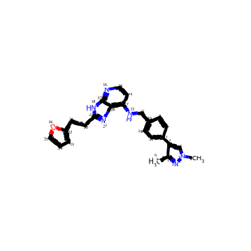 Cc1nn(C)cc1-c1ccc(CNc2ccnc3[nH]c(CCc4ccco4)nc23)cc1